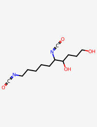 O=C=NCCCCCC(N=C=O)C(O)CCCO